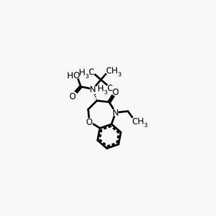 CCN1C(=O)[C@@H](N(C(=O)O)C(C)(C)C)COc2ccccc21